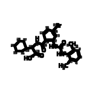 Cc1cccc(C)c1NC(=O)Nc1cc(Br)ccc1C(=O)NC(C(=O)O)C1CCCCC1